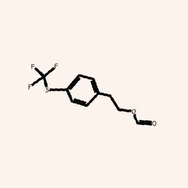 O=[C]OCCc1ccc(SC(F)(F)F)cc1